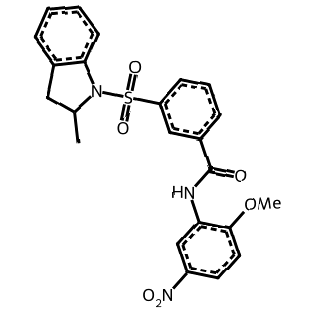 COc1ccc([N+](=O)[O-])cc1NC(=O)c1cccc(S(=O)(=O)N2c3ccccc3CC2C)c1